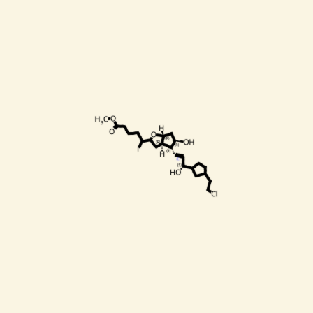 COC(=O)CCCC(I)C1C[C@@H]2[C@@H](/C=C/[C@@H](O)C3CCC(CCCl)C3)[C@H](O)C[C@H]2O1